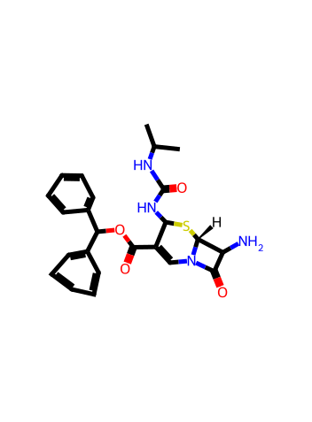 CC(C)NC(=O)NC1S[C@@H]2C(N)C(=O)N2C=C1C(=O)OC(c1ccccc1)c1ccccc1